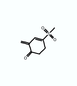 C=C1C=C(S(C)(=O)=O)CCC1=O